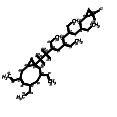 CCC(CC(CC)CC1CC1(I)I)CC(CC)CC(CC)C(I)(I)C(I)(I)C12CC(CC)CC(CC)CC(CC)CC1C2